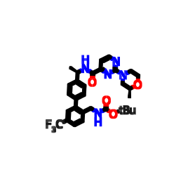 C[C@H]1CN(c2nccc(C(=O)N[C@H](C)c3ccc(-c4cc(C(F)(F)F)ccc4CNC(=O)OC(C)(C)C)cc3)n2)CCO1